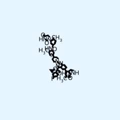 Cc1ccc(C(=O)NC2(C)CCN(C3CCN(c4nc(C(CO)(OC5CC5)c5ccc(F)cc5)c5cc(-c6cn(C)c(=O)c7[nH]ccc67)ccc5n4)CC3)CC2)cc1N1CCC(=O)NC1=O